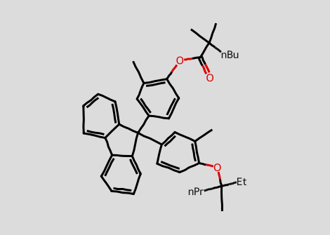 CCCCC(C)(C)C(=O)Oc1ccc(C2(c3ccc(OC(C)(CC)CCC)c(C)c3)c3ccccc3-c3ccccc32)cc1C